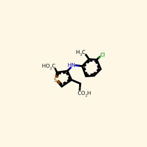 Cc1c(Cl)cccc1Nc1c(CC(=O)O)csc1C(=O)O